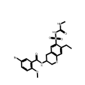 CCc1cc2c(cc1S(=O)(=O)NC(=O)NC)CC(NC(=O)c1cc(Br)ccc1OC)CO2